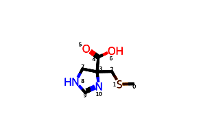 CSCC1(C(=O)O)CNC=N1